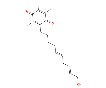 CC1=C(C)C(=O)C(CCCCC=CCC=CCO)=C(C)C1=O